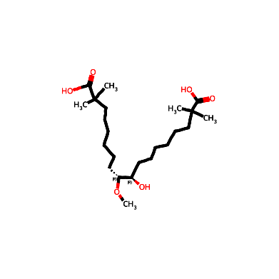 CO[C@H](CCCCCCC(C)(C)C(=O)O)[C@H](O)CCCCCCC(C)(C)C(=O)O